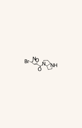 O=C(c1cc(Br)no1)N1CCC2NCCC21